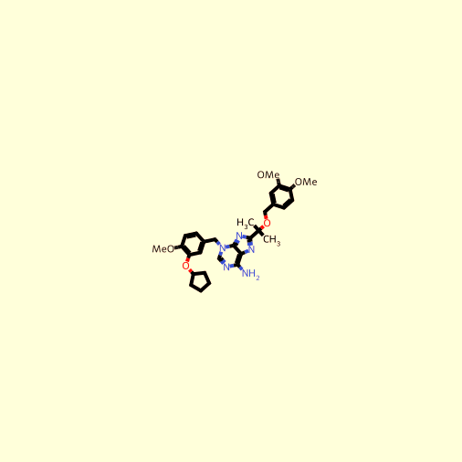 COc1ccc(COC(C)(C)c2nc3c(N)ncn(Cc4ccc(OC)c(OC5CCCC5)c4)c-3n2)cc1OC